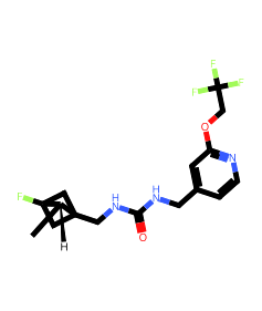 C[C@@H]1C2(F)CC1(CNC(=O)NCc1ccnc(OCC(F)(F)F)c1)C2